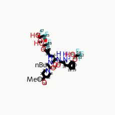 CCCCC(NC(=O)[C@@H](CCC1CC1)NC(=O)[C@H](N)Cc1ccccc1)C(=O)N1CCC(C(=O)OC)CC1.O=C(O)C(F)(F)F.O=C(O)C(F)(F)F.O=C(O)C(F)(F)F